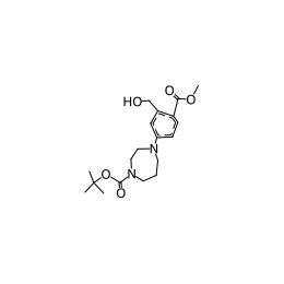 COC(=O)c1ccc(N2CCCN(C(=O)OC(C)(C)C)CC2)cc1CO